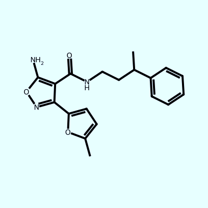 Cc1ccc(-c2noc(N)c2C(=O)NCCC(C)c2ccccc2)o1